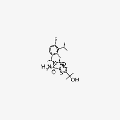 CC(C)c1ccc(F)c(C(C)C)c1CC(=O)N=[S@@](N)(=O)c1ncc(C(C)(C)O)s1